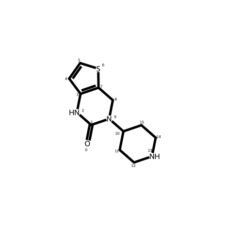 O=C1Nc2ccsc2CN1C1CCNCC1